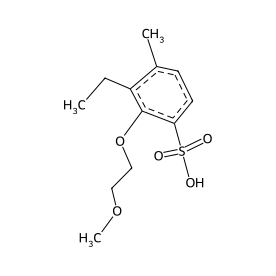 CCc1c(C)ccc(S(=O)(=O)O)c1OCCOC